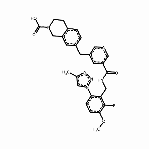 COc1ccc(-n2cc(C)nn2)c(CNC(=O)c2cncc(Cc3ccc4c(c3)CN(C(=O)O)CC4)c2)c1F